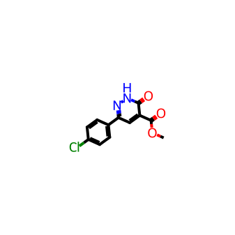 COC(=O)c1cc(-c2ccc(Cl)cc2)n[nH]c1=O